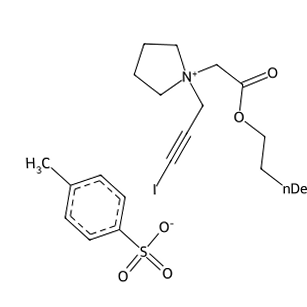 CCCCCCCCCCCCOC(=O)C[N+]1(CC#CI)CCCC1.Cc1ccc(S(=O)(=O)[O-])cc1